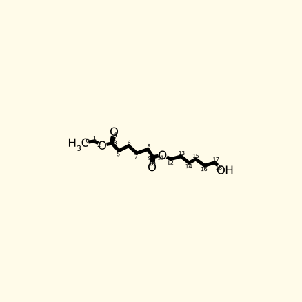 CCOC(=O)CCCCC(=O)OCCCCCCO